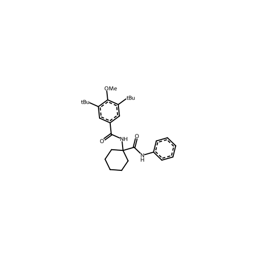 COc1c(C(C)(C)C)cc(C(=O)NC2(C(=O)Nc3ccccc3)CCCCC2)cc1C(C)(C)C